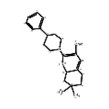 COC1=C(N2CCC(c3ccccc3)CC2)NC2CC(C)(C)CCC2=C1